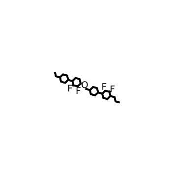 CCCC1CCC(C2CCC(COC3CCC(C4CCC(CC)CC4)C(F)C3F)CC2)C(F)C1F